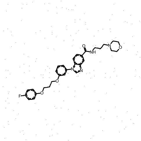 O=C(NCCCN1CCOCC1)c1ccc2c(c1)ncn2-c1cccc(OCCCOc2ccc(F)cc2)c1